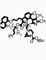 Cc1nn(C)c(C)c1-c1c(Cl)ccc2c(CCCOc3cccc4ccccc34)c(C(=O)OC(C)(C)CCC(C)C)n(CCN3CCN(C(=O)OC(C)(C)C)C4CC43)c12